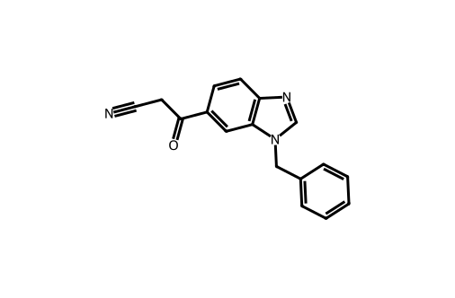 N#CCC(=O)c1ccc2ncn(Cc3ccccc3)c2c1